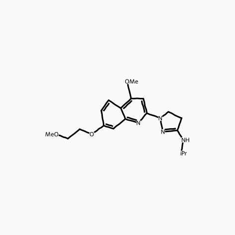 COCCOc1ccc2c(OC)cc(N3CCC(NC(C)C)=N3)nc2c1